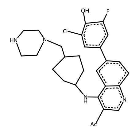 CC(=O)c1cnc2ccc(-c3cc(F)c(O)c(Cl)c3)cc2c1NC1CCC(CN2CCNCC2)CC1